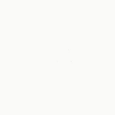 CC(C)c1cc(SCc2ccccc2)c(C(C)(C)C)s1